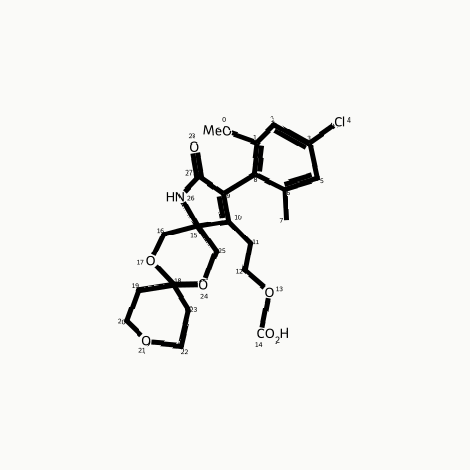 COc1cc(Cl)cc(C)c1C1=C(CCOC(=O)O)C2(COC3(CCOCC3)OC2)NC1=O